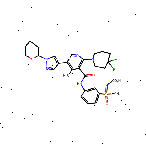 Cc1c(-c2cnn(C3CCCCO3)c2)cnc(N2CCCC(F)(F)CC2)c1C(=O)Nc1cccc(S(C)(=O)=NC(=O)O)c1